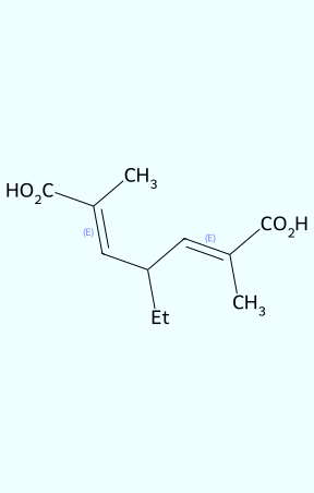 CCC(/C=C(\C)C(=O)O)/C=C(\C)C(=O)O